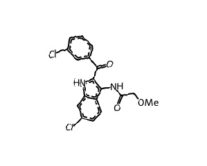 COCC(=O)Nc1c(C(=O)c2cccc(Cl)c2)[nH]c2cc(Cl)ccc12